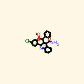 COC(=O)C(c1ccccc1)c1c(-c2ccc(Cl)cc2)nc2ccccc2c1C(N)=O